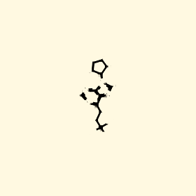 FC(F)(F)CCc1ncnc2c1ncn2C1CCCC1